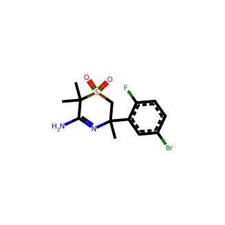 CC1(c2cc(Br)ccc2F)CS(=O)(=O)C(C)(C)C(N)=N1